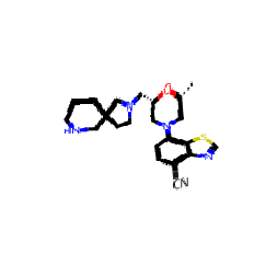 C[C@@H]1CN(c2ccc(C#N)c3ncsc23)C[C@H](CN2CCC3(CCCNC3)C2)O1